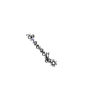 CCOC(=O)/C=C/COCCOCCOCCOCCNC(=O)OCc1ccccc1